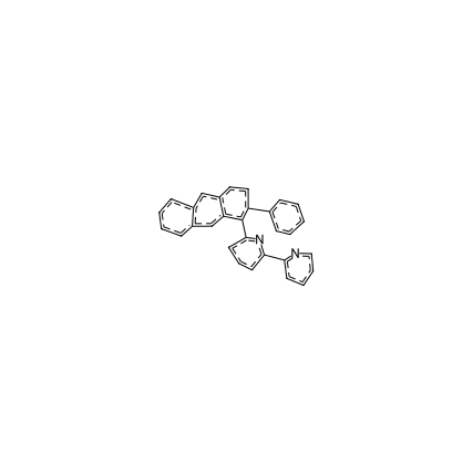 c1ccc(-c2ccc3cc4ccccc4cc3c2-c2cccc(-c3ccccn3)n2)cc1